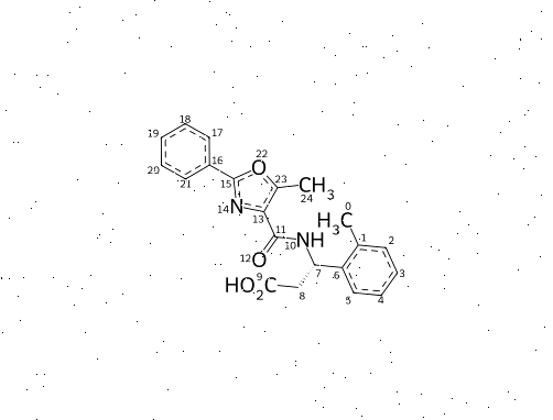 Cc1ccccc1[C@H](CC(=O)O)NC(=O)c1nc(-c2ccccc2)oc1C